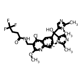 COc1nc2ccc(C(O)(c3cnc(C)n3C)c3cnc(C)n3C)cc2c(Cl)c1CNC(=O)CCC(F)(F)F